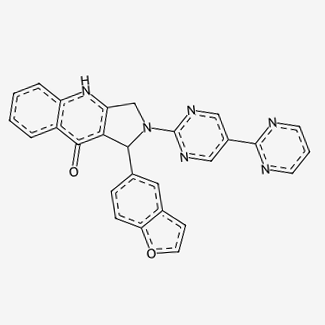 O=c1c2c([nH]c3ccccc13)CN(c1ncc(-c3ncccn3)cn1)C2c1ccc2occc2c1